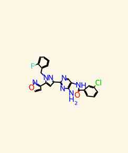 Nc1nc(-c2cc(-c3ccon3)n(CC3=C=C=CC=C3F)n2)ncc1NC(=O)c1cccc(Cl)c1